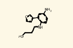 Nc1ccc(NCCCO)c(-c2ccoc2)c1